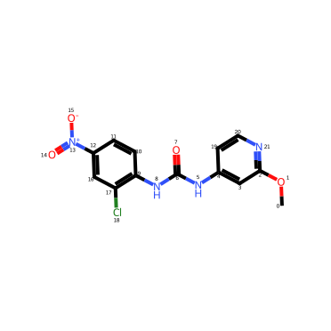 COc1cc(NC(=O)Nc2ccc([N+](=O)[O-])cc2Cl)ccn1